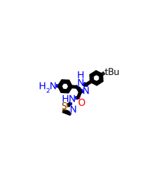 CC(C)(C)c1ccc(-c2nc(C(=O)Nc3nccs3)c(-c3ccc(N)cc3)[nH]2)cc1